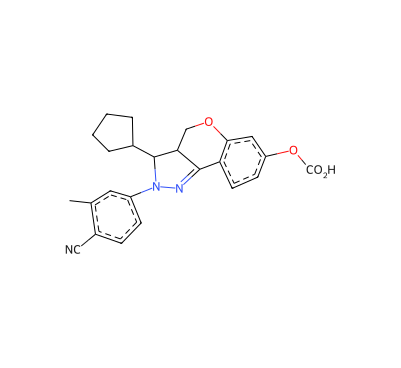 Cc1cc(N2N=C3c4ccc(OC(=O)O)cc4OCC3C2C2CCCC2)ccc1C#N